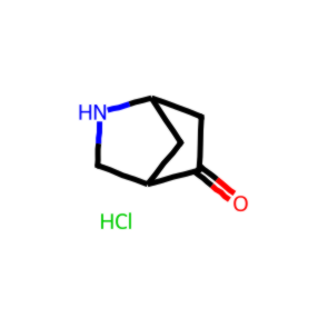 Cl.O=C1CC2CC1CN2